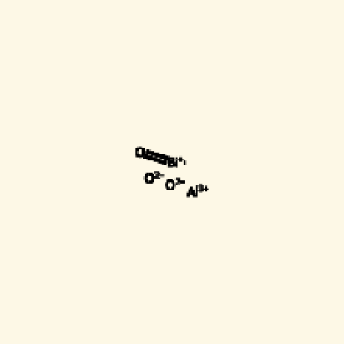 [Al+3].[O-2].[O-2].[O]=[Bi+]